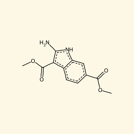 COC(=O)c1ccc2c(C(=O)OC)c(N)[nH]c2c1